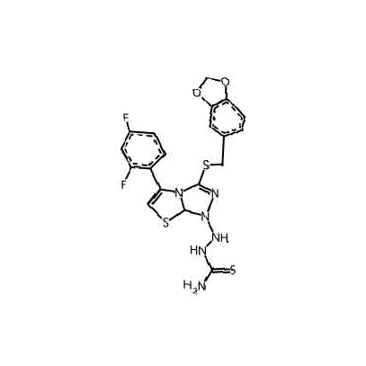 NC(=S)NNN1N=C(SCc2ccc3c(c2)OCO3)N2C(c3ccc(F)cc3F)=CSC12